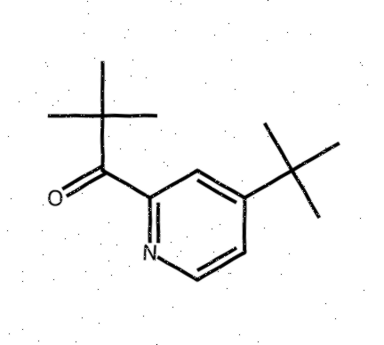 CC(C)(C)C(=O)c1cc(C(C)(C)C)ccn1